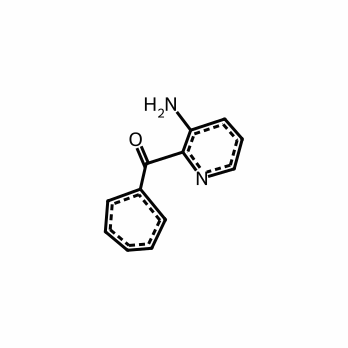 Nc1cccnc1C(=O)c1ccccc1